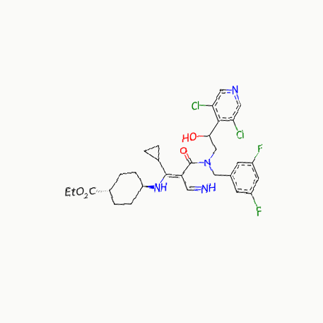 CCOC(=O)[C@H]1CC[C@H](N/C(=C(\C=N)C(=O)N(Cc2cc(F)cc(F)c2)CC(O)c2c(Cl)cncc2Cl)C2CC2)CC1